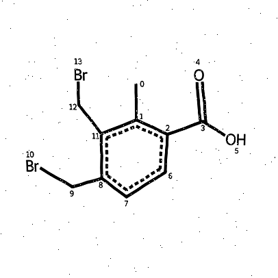 Cc1c(C(=O)O)ccc(CBr)c1CBr